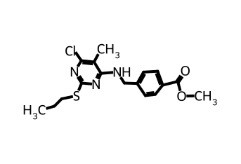 CCCSc1nc(Cl)c(C)c(NCc2ccc(C(=O)OC)cc2)n1